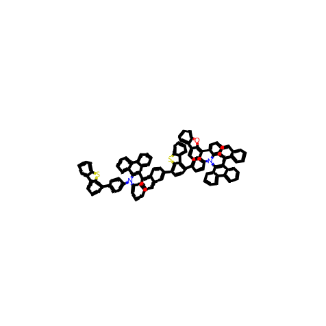 c1ccc(N(c2ccc(-c3cccc4c3sc3ccccc34)cc2)c2c(-c3cccc4cc(-c5ccc(-c6ccc(N(c7ccccc7-c7cccc8c7oc7ccccc78)c7c(-c8cccc9ccccc89)c8ccccc8c8ccccc78)cc6)c6c5sc5ccccc56)ccc34)c3ccccc3c3ccccc23)cc1